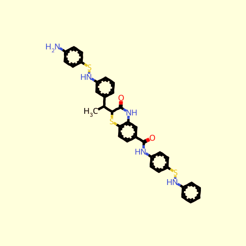 CC(c1cccc(NSc2ccc(N)cc2)c1)C1Sc2ccc(C(=O)Nc3ccc(SNc4ccccc4)cc3)cc2NC1=O